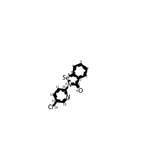 O=c1c2ccccc2[se]n1-c1ccc(Cl)cn1